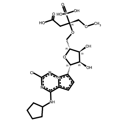 COC[C@](CC(=O)O)(OC[C@H]1O[C@@H](c2ccc3c(NC4CCCC4)nc(Cl)nn23)[C@H](O)[C@@H]1O)P(=O)(O)O